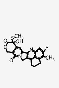 CSC1(O)C(=O)OCc2c1cc1n(c2=O)Cc2c-1nc1cc(F)c(C)c3c1c2CCC3